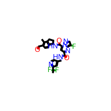 Cc1c(C=O)ccc2c1CC[C@@H]2NC(=O)c1cc(C(=O)NCc2ccnc(C(C)(F)F)c2)nc2c(F)cnn12